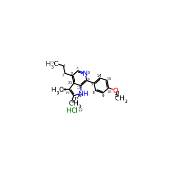 CCCc1cnc(-c2ccc(OC)cc2)c2[nH]c(C)c(C)c12.Cl